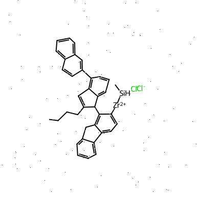 CCCCC1=Cc2c(-c3ccc4ccccc4c3)cccc2C1c1[c]([Zr+2][SiH](C)C)ccc2c1Cc1ccccc1-2.[Cl-].[Cl-]